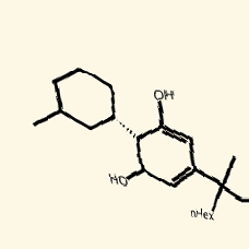 CCCCCCC(C)(C)C1=CC(O)C([C@H]2CCCC(C)C2)C(O)=C1